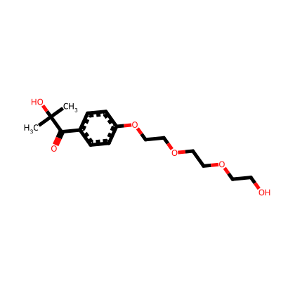 CC(C)(O)C(=O)c1ccc(OCCOCCOCCO)cc1